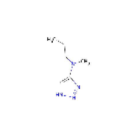 CCCN(C)c1c[nH]nn1